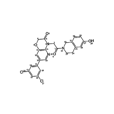 O=C(CN1C(=O)COc2cc(-c3cc(Cl)cc(Cl)c3)cnc21)N1CCc2cc(O)ccc2C1